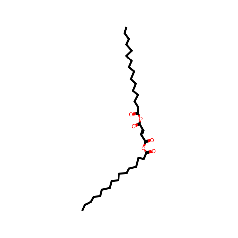 CCCCCCCCCCCCCCCC(=O)OC(=O)C=CC(=O)OC(=O)CCCCCCCCCCCCCCC